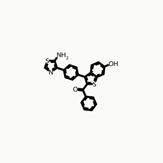 Nc1scnc1-c1ccc(-c2c(C(=O)c3ccccc3)sc3cc(O)ccc23)cc1